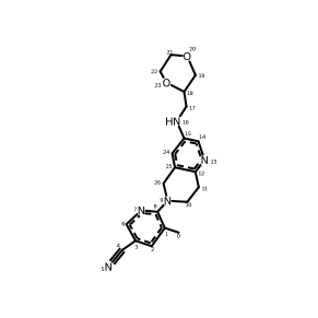 Cc1cc(C#N)cnc1N1CCc2ncc(NCC3COCCO3)cc2C1